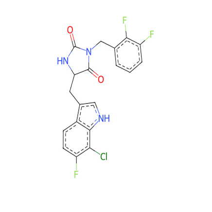 O=C1NC(Cc2c[nH]c3c(Cl)c(F)ccc23)C(=O)N1Cc1cccc(F)c1F